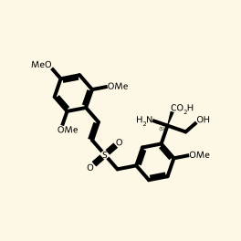 COc1cc(OC)c(C=CS(=O)(=O)Cc2ccc(OC)c([C@](N)(CO)C(=O)O)c2)c(OC)c1